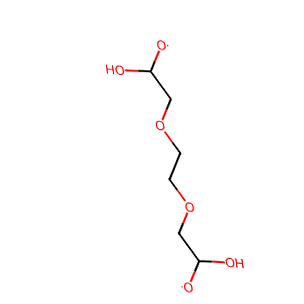 [O]C(O)COCCOCC([O])O